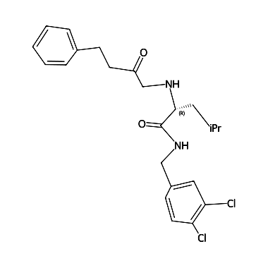 CC(C)C[C@@H](NCC(=O)CCc1ccccc1)C(=O)NCc1ccc(Cl)c(Cl)c1